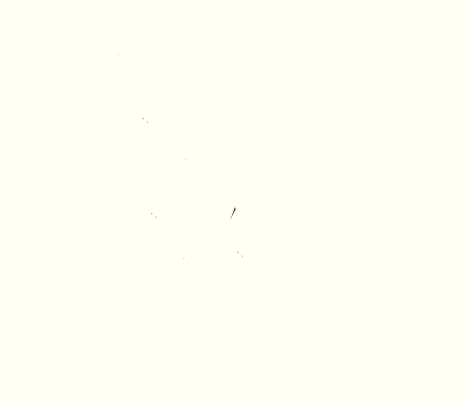 CC(CN1CCN(C(=O)c2cc(C(F)(F)F)cc(C(F)(F)F)c2)[C@H](Cc2c[nH]c3ccccc23)C1)=NOCCN1CC(C)OC(C)C1